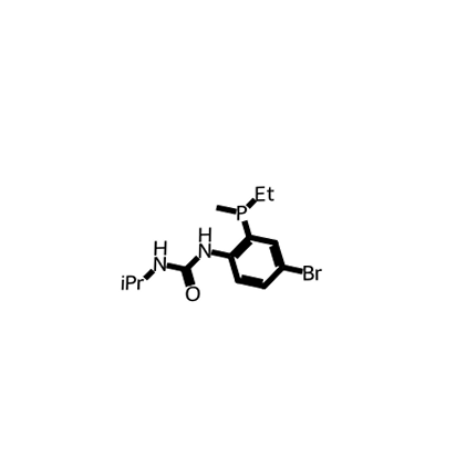 CCP(C)c1cc(Br)ccc1NC(=O)NC(C)C